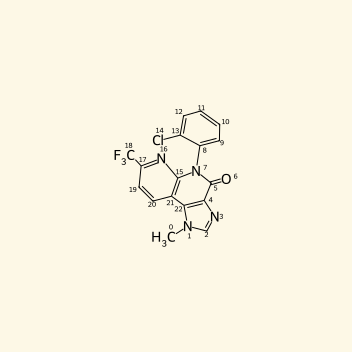 Cn1cnc2c(=O)n(-c3ccccc3Cl)c3nc(C(F)(F)F)ccc3c21